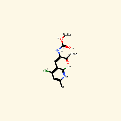 COC(=O)/C(=C\c1c(Cl)cc(C)nc1Cl)NC(=O)OC(C)(C)C